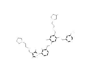 Cc1nn(-c2cccc(COc3cc(OCc4cncc(C#N)c4)c(CNCCN4CCC(O)C4)cc3Cl)c2C)c(C)c1CNCCN1CCCC1